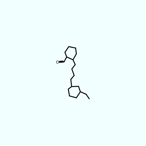 CCC1CCCC(CCCCC2CCCCC2C=O)C1